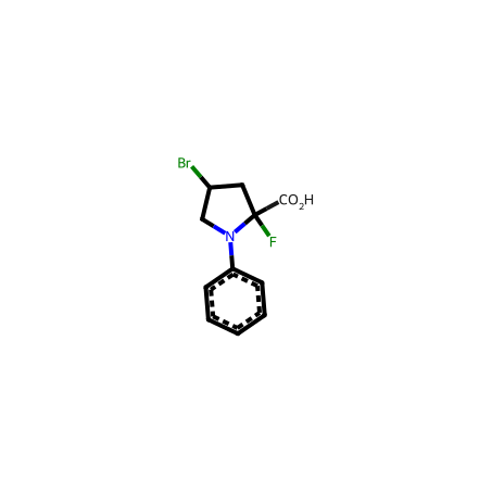 O=C(O)C1(F)CC(Br)CN1c1ccccc1